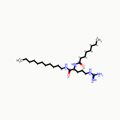 CCCCCCCCCCCNC(=O)C(CCCNC(=N)N)NC(=O)CCCCCCC